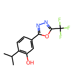 CC(C)c1ccc(-c2nnc(C(F)(F)F)o2)cc1O